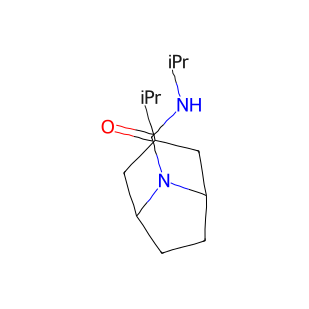 CC(C)NC(=O)N1C2CCC1CC(C(C)C)C2